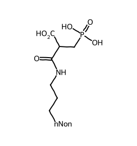 CCCCCCCCCCCCNC(=O)C(CP(=O)(O)O)C(=O)O